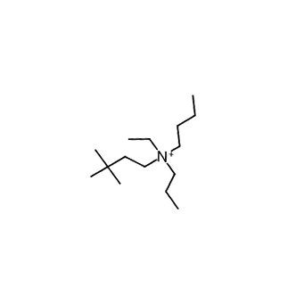 CCCC[N+](CC)(CCC)CCC(C)(C)C